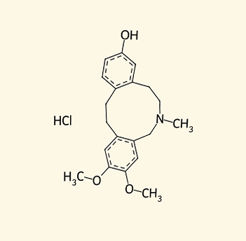 COc1cc2c(cc1OC)CN(C)CCc1cc(O)ccc1CC2.Cl